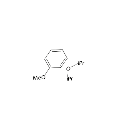 CC(C)OC(C)C.COc1ccccc1